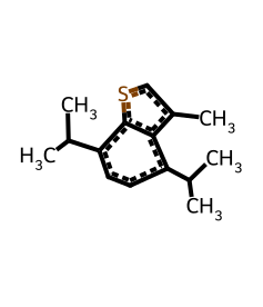 Cc1csc2c(C(C)C)ccc(C(C)C)c12